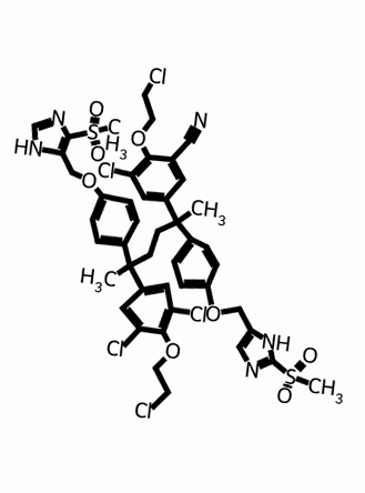 CC(CCC(C)(c1ccc(OCc2cnc(S(C)(=O)=O)[nH]2)cc1)c1cc(Cl)c(OCCCl)c(C#N)c1)(c1ccc(OCc2[nH]cnc2S(C)(=O)=O)cc1)c1cc(Cl)c(OCCCl)c(Cl)c1